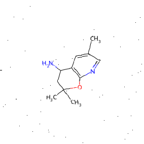 Cc1cnc2c(c1)C(N)CC(C)(C)O2